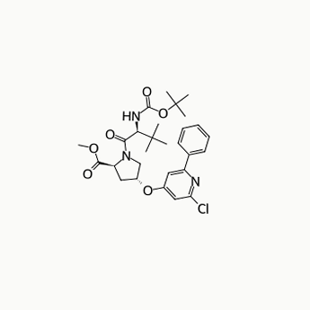 COC(=O)[C@@H]1C[C@@H](Oc2cc(Cl)nc(-c3ccccc3)c2)CN1C(=O)[C@@H](NC(=O)OC(C)(C)C)C(C)(C)C